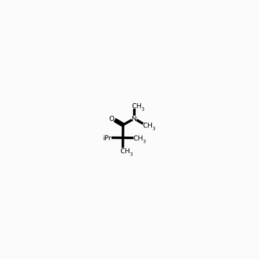 CC(C)C(C)(C)C(=O)N(C)C